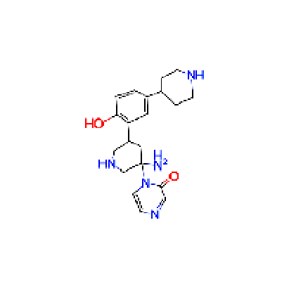 NC1(n2ccncc2=O)CNCC(c2cc(C3CCNCC3)ccc2O)C1